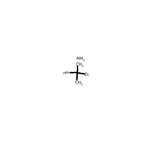 CC[CH]C(C)(C)CC.[AlH3]